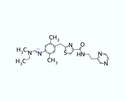 CCN(C)/C=N/c1cc(C)c(Cc2nc(C(=O)NCCc3cnccn3)cs2)cc1C